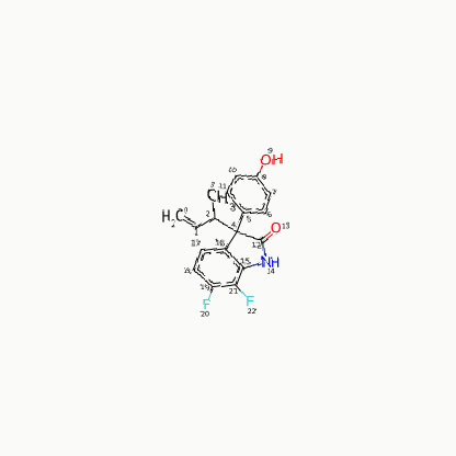 C=CC(C)C1(c2ccc(O)cc2)C(=O)Nc2c1ccc(F)c2F